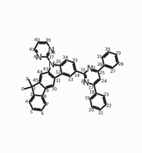 CC1(C)c2ccccc2-c2cc3c4cc(-c5nc(-c6ccccc6)cc(-c6ccccc6)n5)ccc4n(-c4ncccn4)c3cc21